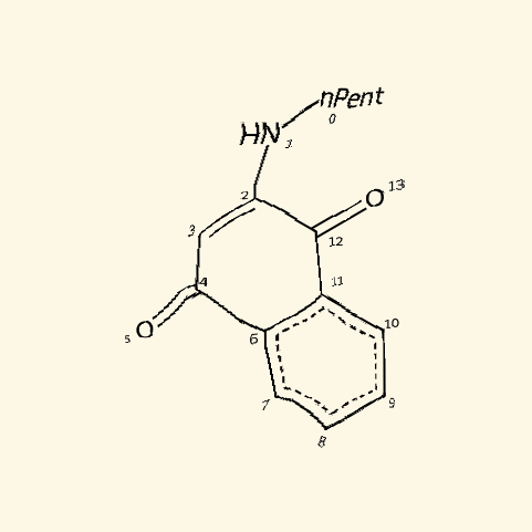 CCCCCNC1=CC(=O)c2ccccc2C1=O